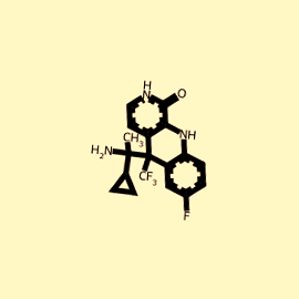 CC(N)(C1CC1)C1(C(F)(F)F)c2cc(F)ccc2Nc2c1cc[nH]c2=O